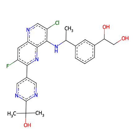 CC(Nc1c(Cl)cnc2cc(F)c(-c3cnc(C(C)(C)O)nc3)nc12)c1cccc(C(O)CO)c1